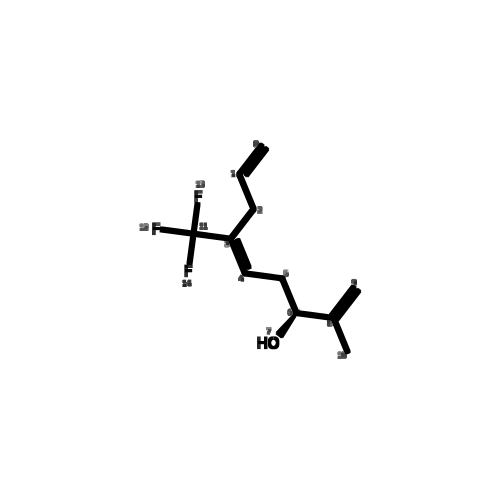 C=CC/C(=C\C[C@H](O)C(=C)C)C(F)(F)F